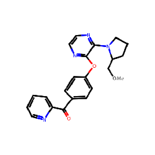 COCC1CCCN1c1nccnc1Oc1ccc(C(=O)c2ccccn2)cc1